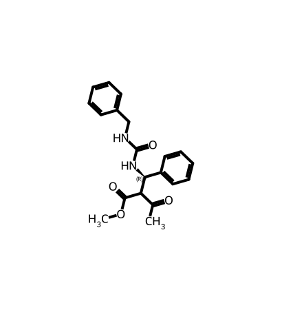 COC(=O)C(C(C)=O)[C@@H](NC(=O)NCc1ccccc1)c1ccccc1